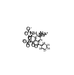 O=C([O-])NC(=O)c1cccc(C(=O)c2ccccc2)c1C(=O)NC(=O)[O-].[Na+].[Na+]